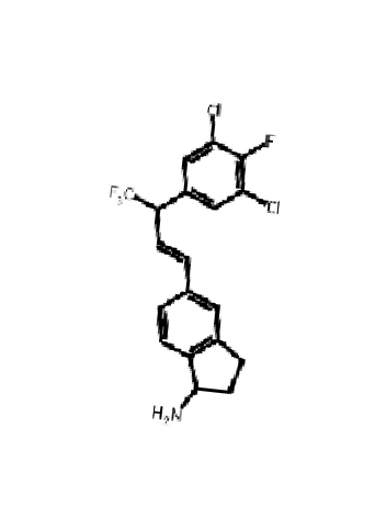 NC1CCc2cc(/C=C/C(c3cc(Cl)c(F)c(Cl)c3)C(F)(F)F)ccc21